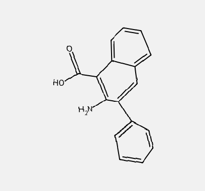 Nc1c(-c2ccccc2)cc2ccccc2c1C(=O)O